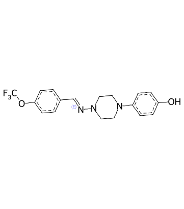 Oc1ccc(N2CCN(/N=C/c3ccc(OC(F)(F)F)cc3)CC2)cc1